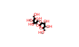 OC[C@H]1O[CH][C@H](OC2O[C@H](CO)[C@@H](O)[C@H](O)[C@H]2O)[C@@H](O)[C@@H]1O